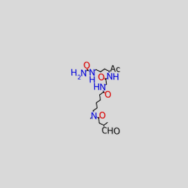 CC(=O)C(CCCNC(N)=O)NC(=O)CNC(=O)CCCCCN(C)C(=O)CC(C)C=O